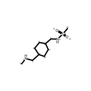 CNCC1CCC(CNS(C)(=O)=O)CC1